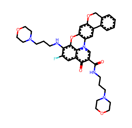 O=C(NCCCN1CCOCC1)c1cn2c3c(c(NCCCN4CCOCC4)c(F)cc3c1=O)Oc1cc3c(cc1-2)-c1ccccc1CO3